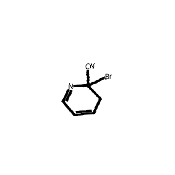 N#CC1(Br)CC=CC=N1